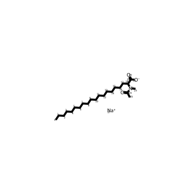 CCCCCCCCCCCCCCCCCCC(C(=O)[O-])N(C)C(C)=O.[Na+]